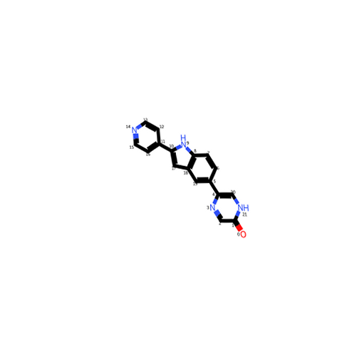 O=c1cnc(-c2ccc3[nH]c(-c4ccncc4)cc3c2)c[nH]1